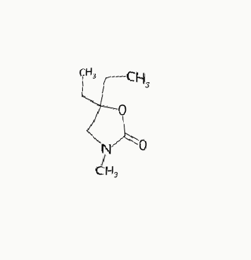 CCC1(CC)CN(C)C(=O)O1